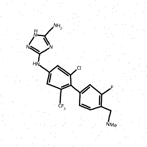 CNCc1ccc(-c2c(Cl)cc(Nc3n[nH]c(N)n3)cc2C(F)(F)F)cc1F